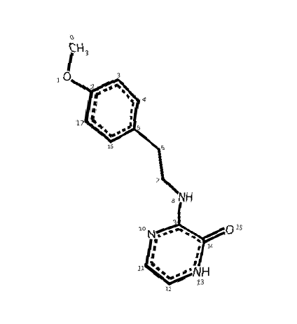 COc1ccc(CCNc2ncc[nH]c2=O)cc1